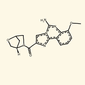 COc1cccc2c1nc(N)n1cc(C(=O)N3CC4C[C@H]3CO4)nc21